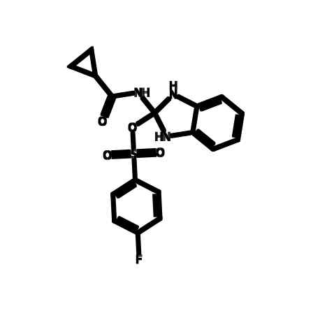 O=C(NC1(OS(=O)(=O)c2ccc(F)cc2)Nc2ccccc2N1)C1CC1